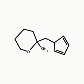 [SiH3]C1(CC2C=CC=C2)CCCCO1